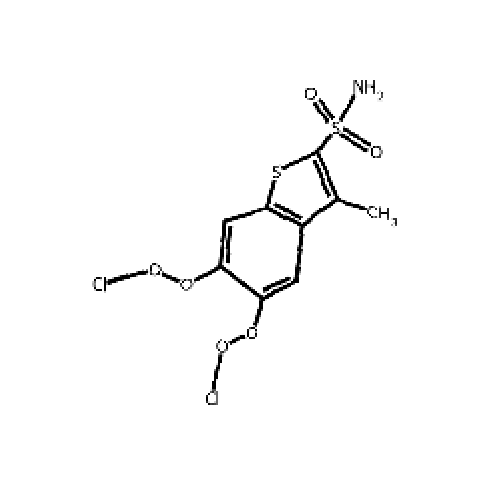 Cc1c(S(N)(=O)=O)sc2cc(OOCl)c(OOCl)cc12